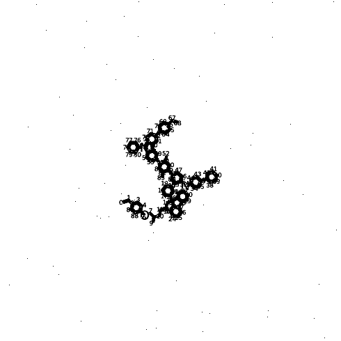 C=Cc1ccc(OCC(C)CCC(C)CC2(c3ccccc3)c3ccccc3-c3ccc(N(c4ccc(-c5ccccc5)cc4)c4ccc(-c5cc(C)c(-c6ccc7c(c6)c6cc(-c8ccc(C=C)cc8)ccc6n7-c6ccccc6)cc5C)cc4)cc32)cc1